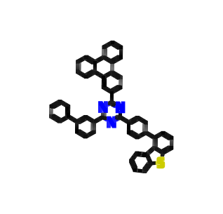 c1ccc(-c2cccc(-c3nc(-c4ccc(-c5cccc6sc7ccccc7c56)cc4)nc(-c4ccc5c6ccccc6c6ccccc6c5c4)n3)c2)cc1